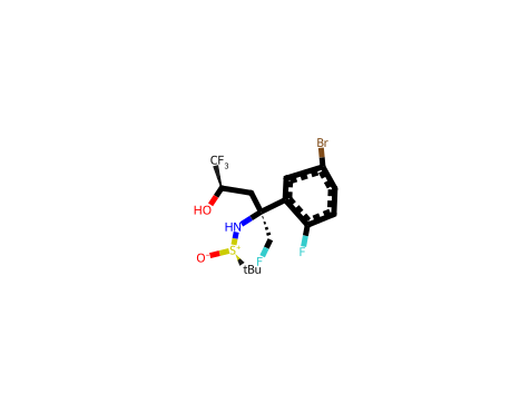 CC(C)(C)[S@@+]([O-])N[C@@](CF)(C[C@@H](O)C(F)(F)F)c1cc(Br)ccc1F